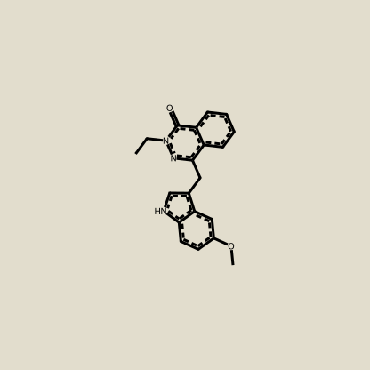 CCn1nc(Cc2c[nH]c3ccc(OC)cc23)c2ccccc2c1=O